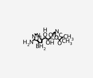 Bc1cc([C@H](O)[C@H](O)[C@@H](COC(=O)C(C)(C)C)OC#N)n2ncnc(N)c12